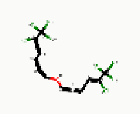 FC(F)(F)C(Cl)=CC=C=COC=C=CC=C(Cl)C(F)(F)F